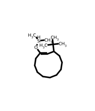 C[SiH](C)O/C1=C\C(C(C)(C)C)CCCCCCCCC1